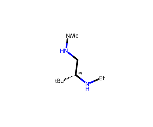 CCN[C@@H](CNNC)C(C)(C)C